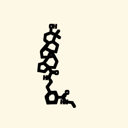 CCNC(=O)c1cccc(CCNC(=O)C23CCCC2C24CC5C6C57CCC(O)C(C)(C)C7CCC62C4CC3)c1